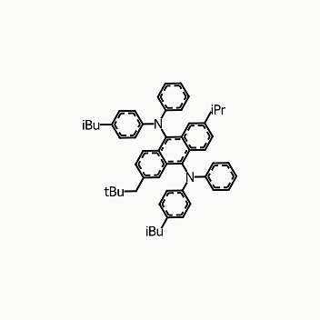 CCC(C)c1ccc(N(c2ccccc2)c2c3ccc(C(C)C)cc3c(N(c3ccccc3)c3ccc(C(C)CC)cc3)c3ccc(CC(C)(C)C)cc23)cc1